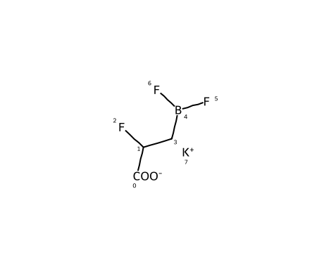 O=C([O-])C(F)CB(F)F.[K+]